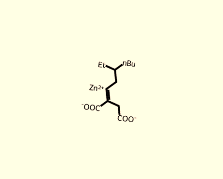 CCCCC(CC)CC=C(CC(=O)[O-])C(=O)[O-].[Zn+2]